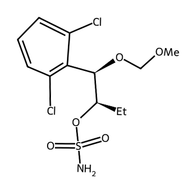 CC[C@@H](OS(N)(=O)=O)[C@H](OCOC)c1c(Cl)cccc1Cl